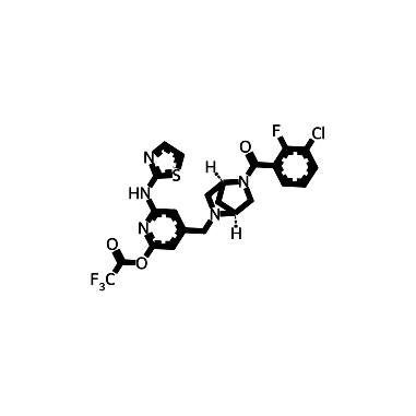 O=C(c1cccc(Cl)c1F)N1C[C@@H]2C[C@H]1CN2Cc1cc(Nc2nccs2)nc(OC(=O)C(F)(F)F)c1